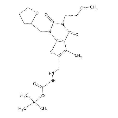 COCCn1c(=O)c2c(C)c(CNNC(=O)OC(C)(C)C)sc2n(CC2CCCO2)c1=O